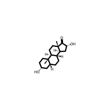 C[C@]12CC[C@@H](O)C[C@H]1CC[C@@H]1[C@@H]2CC[C@]2(C)C(=O)[C@H](O)C[C@@H]12